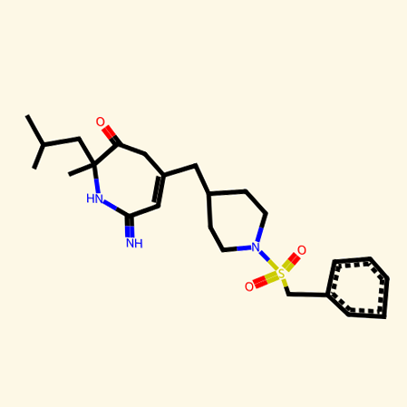 CC(C)CC1(C)NC(=N)C=C(CC2CCN(S(=O)(=O)Cc3ccccc3)CC2)CC1=O